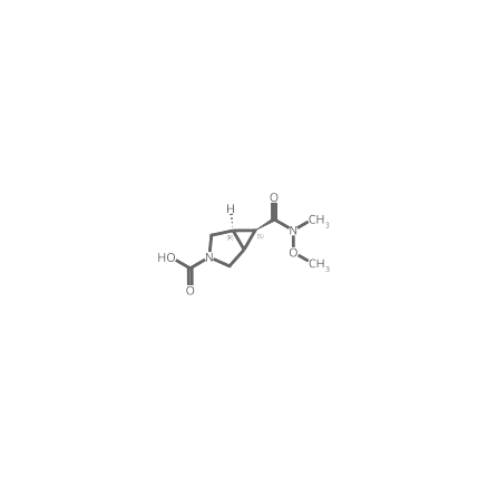 CON(C)C(=O)[C@H]1C2CN(C(=O)O)C[C@H]21